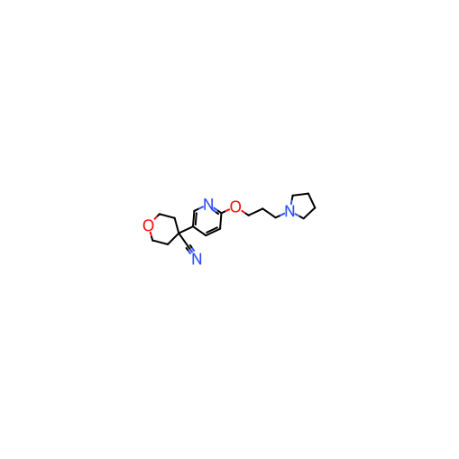 N#CC1(c2ccc(OCCCN3CCCC3)nc2)CCOCC1